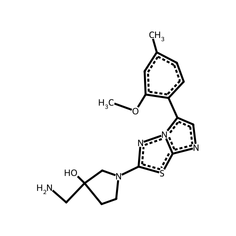 COc1cc(C)ccc1-c1cnc2sc(N3CCC(O)(CN)C3)nn12